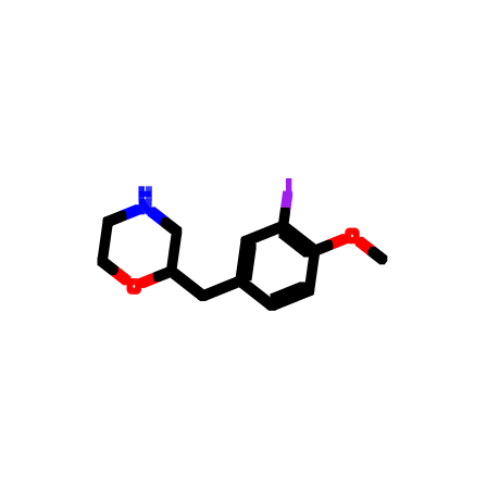 COc1ccc(CC2CNCCO2)cc1I